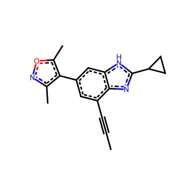 CC#Cc1cc(-c2c(C)noc2C)cc2[nH]c(C3CC3)nc12